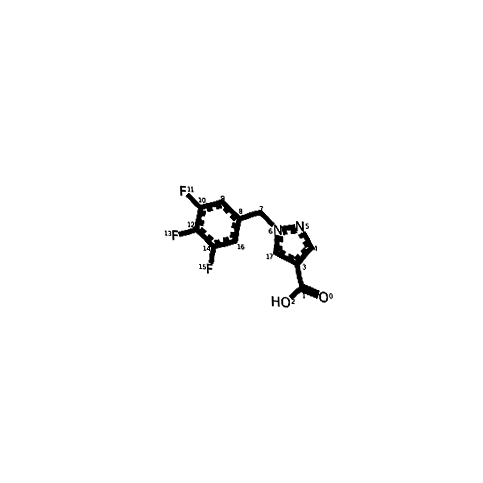 O=C(O)c1cnn(Cc2cc(F)c(F)c(F)c2)c1